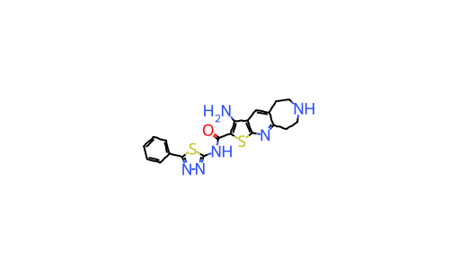 Nc1c(C(=O)Nc2nnc(-c3ccccc3)s2)sc2nc3c(cc12)CCNCC3